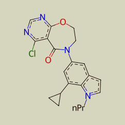 CCCn1ccc2cc(N3CCOc4ncnc(Cl)c4C3=O)cc(C3CC3)c21